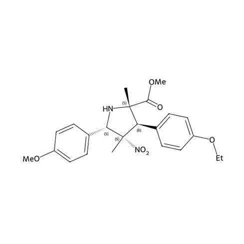 CCOc1ccc([C@H]2[C@](C)([N+](=O)[O-])[C@H](c3ccc(OC)cc3)N[C@]2(C)C(=O)OC)cc1